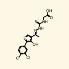 C/C(=N\NC(=S)NCC(=O)O)c1csc(-c2ccc(Cl)c(Cl)c2)c1O